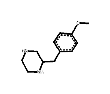 COc1ccc(CC2CNCCN2)cc1